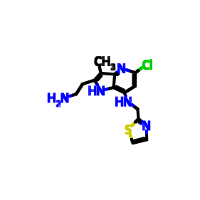 Cc1c(CCN)[nH]c2c(NCc3nccs3)cc(Cl)nc12